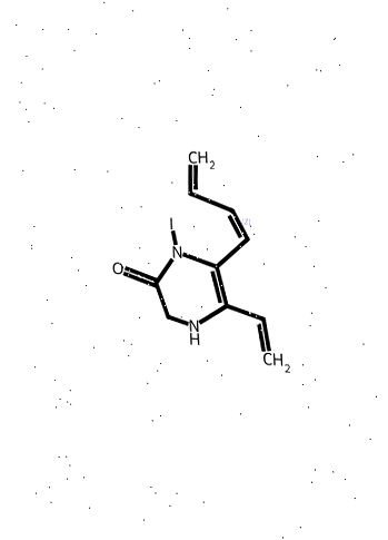 C=C/C=C\C1=C(C=C)NCC(=O)N1I